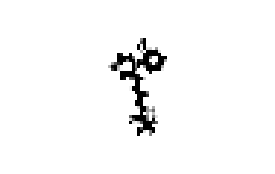 COc1ccccc1N1CCNCC1CCCCNC(=O)C(F)(F)F